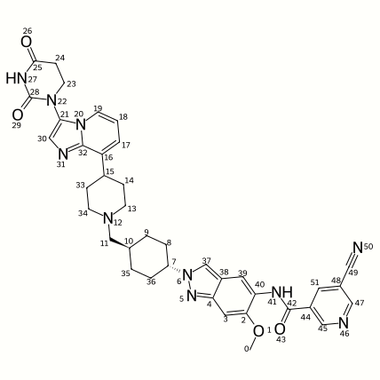 COc1cc2nn([C@H]3CC[C@H](CN4CCC(c5cccn6c(N7CCC(=O)NC7=O)cnc56)CC4)CC3)cc2cc1NC(=O)c1cncc(C#N)c1